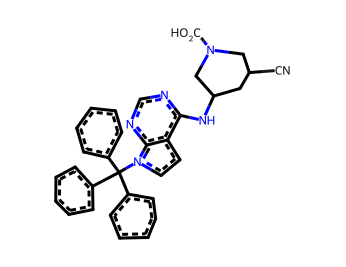 N#CC1CC(Nc2ncnc3c2ccn3C(c2ccccc2)(c2ccccc2)c2ccccc2)CN(C(=O)O)C1